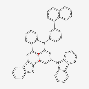 c1cc(-c2cccc3ccccc23)cc(N(c2cccc(-n3c4ccccc4c4ccccc43)c2)c2ccccc2-c2ccc3sc4ccccc4c3c2)c1